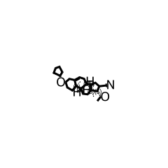 CC(=O)[C@H]1C(C#N)C[C@H]2[C@@H]3CC=C4CC(OC5CCCC5)CC[C@]4(C)[C@H]3CC[C@]12C